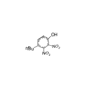 CCCCc1ccc(O)c([N+](=O)[O-])c1[N+](=O)[O-]